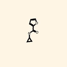 O=C([N]C1CC1)c1ccco1